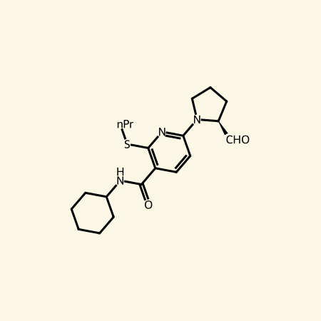 CCCSc1nc(N2CCC[C@H]2C=O)ccc1C(=O)NC1CCCCC1